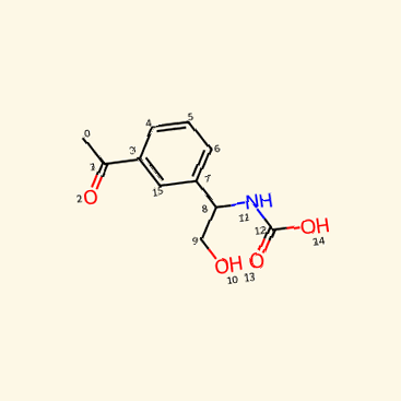 CC(=O)c1cccc(C(CO)NC(=O)O)c1